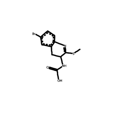 CSC1=Nc2ccc(Br)cc2CC1NC(=O)O